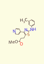 COC(=O)CCc1sc(Nc2cccc(C)c2)nc1-c1ccncc1